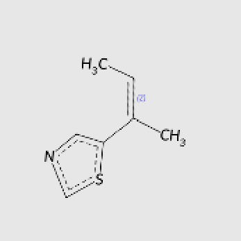 C/C=C(/C)c1cncs1